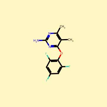 Cc1nc(N)nc(Oc2c(F)cc(F)cc2F)c1C